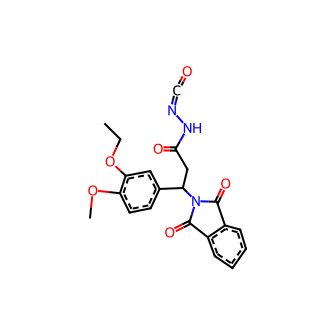 CCOc1cc(C(CC(=O)NN=C=O)N2C(=O)c3ccccc3C2=O)ccc1OC